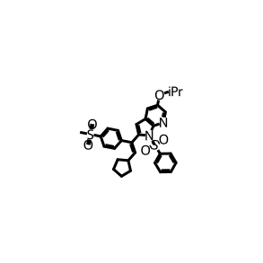 CC(C)Oc1cnc2c(c1)cc(C(=CC1CCCC1)c1ccc(S(C)(=O)=O)cc1)n2S(=O)(=O)c1ccccc1